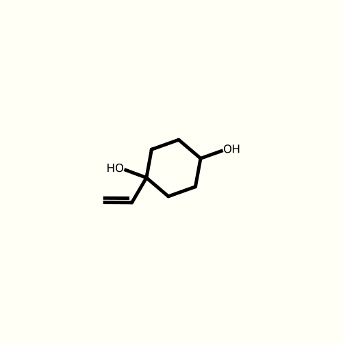 C=CC1(O)CCC(O)CC1